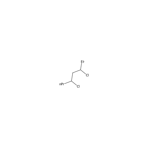 C[CH]C(Cl)CC(Cl)CCC